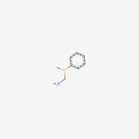 CP(CN)c1ccccc1